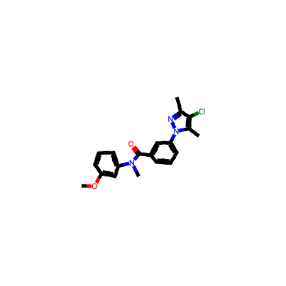 COc1cccc(N(C)C(=O)c2cccc(-n3nc(C)c(Cl)c3C)c2)c1